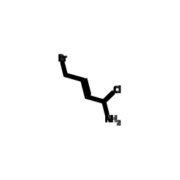 NC(Cl)/C=C/CBr